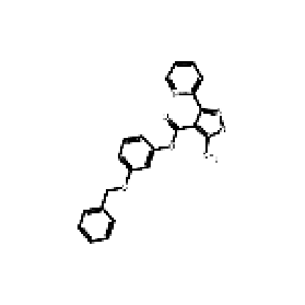 Nc1onc(-c2ccccn2)c1C(=O)Oc1cccc(SCc2ccccc2)c1